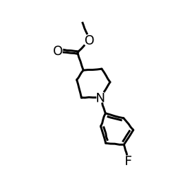 COC(=O)C1CCN(c2ccc(F)cc2)CC1